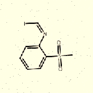 CS(=O)(=O)c1ccccc1/N=C\I